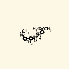 COc1ccc(NC(=O)CNC(=O)c2ccc(-c3cc(-c4nnc(C)o4)ccc3C)cc2)cc1OC